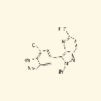 CC(C)n1nc2ccc(C(F)(F)F)nc2c1-c1cc(Cl)c2[nH]ncc2c1